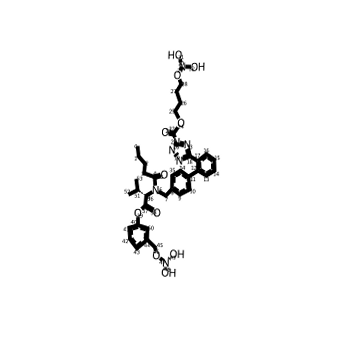 CCCCC(=O)N(Cc1ccc(-c2ccccc2-c2nnn(C(=O)OCCCCON(O)O)n2)cc1)[C@H](C(=O)Oc1cccc(CON(O)O)c1)C(C)C